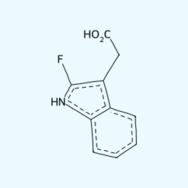 O=C(O)Cc1c(F)[nH]c2ccccc12